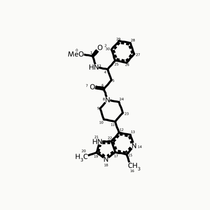 COC(=O)NC(CC(=O)N1CCC(c2cnc(C)c3nc(C)[nH]c23)CC1)c1ccccc1